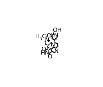 C=C(C)N1CCC(n2c(=O)[nH]c(=O)c3cnc4ccc(-c5cnc(CO)nc5)nc4c32)CC1